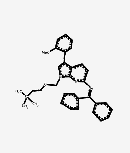 COc1ccccc1-c1cn(COCC[Si](C)(C)C)c2nc(N=C(c3ccccc3)c3ccccc3)ccc12